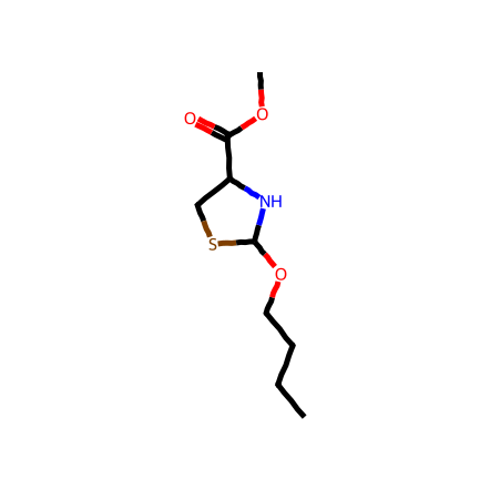 CCCCOC1NC(C(=O)OC)CS1